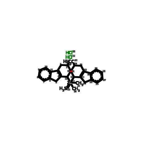 CC1CC2=C(Cc3ccccc32)[CH]([Zr]([CH3])([CH3])(=[SiH2])[CH]2CC(C)CC3=C2Cc2ccccc23)C1.Cl.Cl